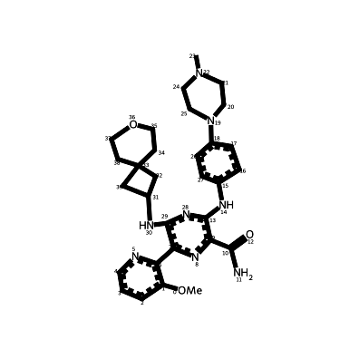 COc1cccnc1-c1nc(C(N)=O)c(Nc2ccc(N3CCN(C)CC3)cc2)nc1NC1CC2(CCOCC2)C1